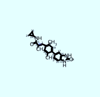 C/C(=C\c1cc(C)c(-c2ccc3[nH]c(=O)[nH]c3c2)cc1C)C(=O)NC1CC1